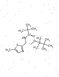 Cc1cnc([C@@H](CO[Si](C)(C)C(C)(C)C)N[S@+]([O-])C(C)(C)C)s1